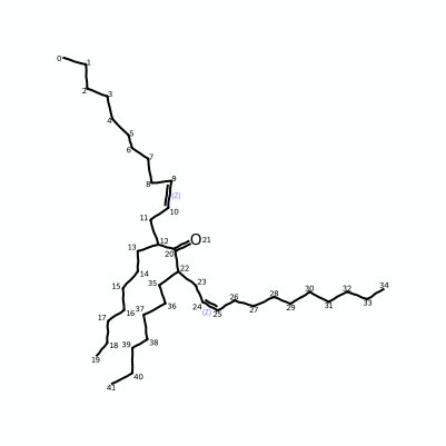 CCCCCCCCC/C=C\CC(CCCCCCC)C(=O)C(C/C=C\CCCCCCCCC)CCCCCCC